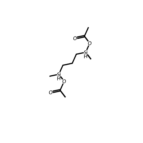 CC(=O)O[SiH](C)CCC[SiH](C)OC(C)=O